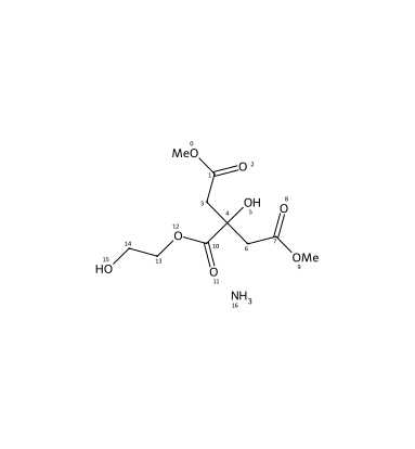 COC(=O)CC(O)(CC(=O)OC)C(=O)OCCO.N